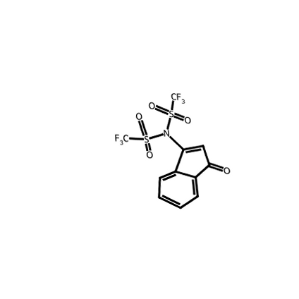 O=C1C=C(N(S(=O)(=O)C(F)(F)F)S(=O)(=O)C(F)(F)F)c2ccccc21